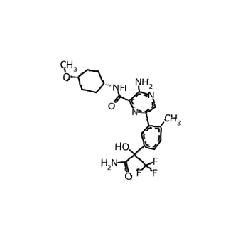 CO[C@H]1CC[C@H](NC(=O)c2nc(-c3cc(C(O)(C(N)=O)C(F)(F)F)ccc3C)cnc2N)CC1